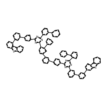 c1ccc(-c2cccc(-c3nc(-c4ccc(-c5cccc(-c6cccc7sc8ccccc8c67)c5)cc4)nc(-c4ccc(-c5cccc(-c6ccc(-c7nc(-c8cccc(-c9cccc(-c%10ccc%11c(c%10)sc%10ccccc%10%11)c9)c8)nc(-c8ccccc8-c8ccccc8)n7)cc6)c5)cc4-c4ccccc4)n3)c2)cc1